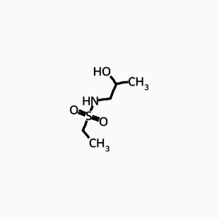 CCS(=O)(=O)NCC(C)O